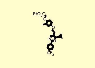 CCOC(=O)COc1ccc(OCCc2cnc(-c3ccc(C(F)(F)F)cc3)nc2C2CC2)cc1C